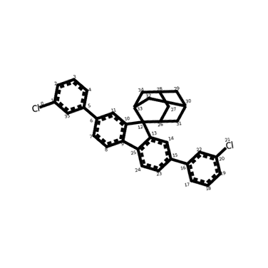 Clc1cccc(-c2ccc3c(c2)C2(c4cc(-c5cccc(Cl)c5)ccc4-3)C3CC4CC(C3)CC2C4)c1